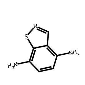 Nc1ccc(N)c2sncc12